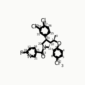 C[C@@H](Oc1ccc(C(F)(F)F)cc1)[C@@H]1CN(C(=O)c2ccc(F)nc2)C[C@H]1c1ccc(Cl)c(Cl)c1